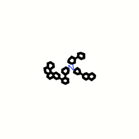 c1ccc(-c2cccc(N(c3ccc(-c4ccc5ccccc5c4)cc3)c3cccc(-c4ccccc4-c4ccc5c(ccc6ccc7ccccc7c65)c4)c3)c2)cc1